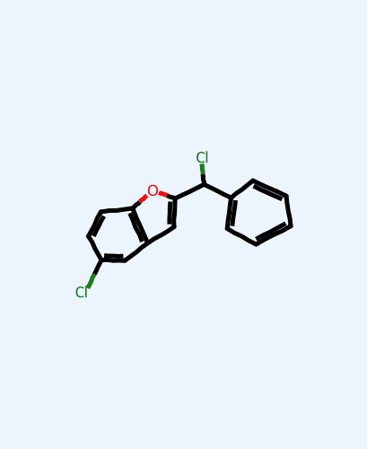 Clc1ccc2oc(C(Cl)c3ccccc3)cc2c1